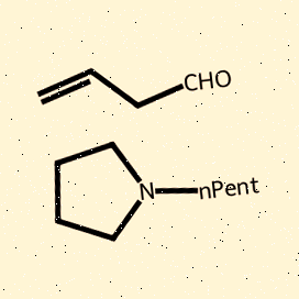 C=CCC=O.CCCCCN1CCCC1